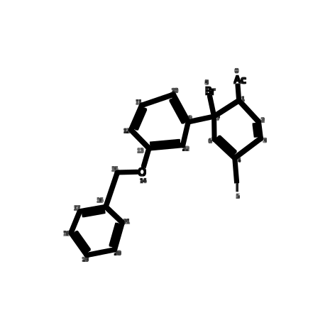 CC(=O)C1C=CC(I)=CC1(Br)c1cccc(OCc2ccccc2)c1